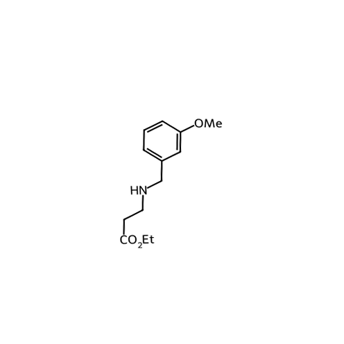 CCOC(=O)CCNCc1cccc(OC)c1